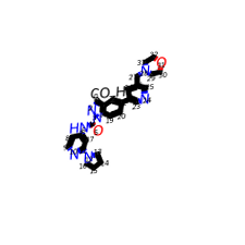 O=C(O)c1nn(C(=O)Nc2ccnc(N3CCCC3)c2)c2ccc(-c3cncc(CN4CCOCC4)c3)cc12